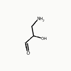 NCC(O)[C]=O